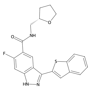 O=C(NC[C@@H]1CCCO1)c1cc2c(-c3cc4ccccc4s3)n[nH]c2cc1F